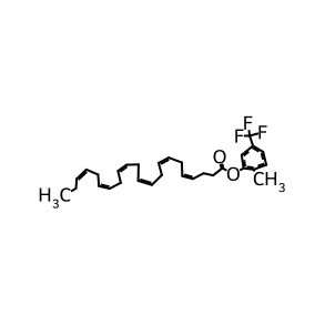 CC/C=C\C/C=C\C/C=C\C/C=C\C/C=C\C/C=C\CCC(=O)Oc1cc(C(F)(F)F)ccc1C